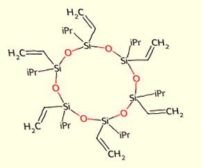 C=C[Si]1(C(C)C)O[Si](C=C)(C(C)C)O[Si](C=C)(C(C)C)O[Si](C=C)(C(C)C)O[Si](C=C)(C(C)C)O[Si](C=C)(C(C)C)O1